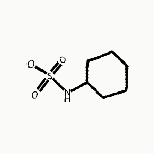 [O]S(=O)(=O)NC1CCCCC1